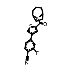 N#Cc1ccc(-c2csc(C(=O)N3C4CCCC3CC4)c2)cc1F